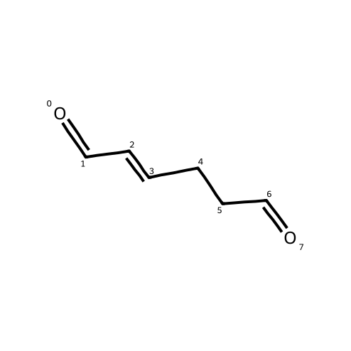 O=C/C=C/CCC=O